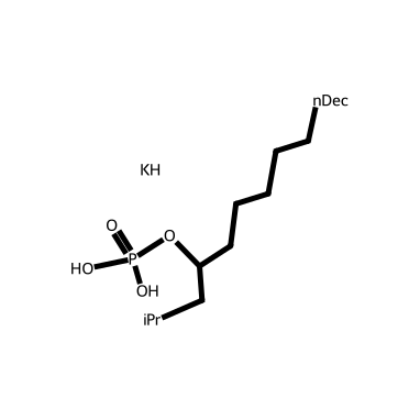 CCCCCCCCCCCCCCCC(CC(C)C)OP(=O)(O)O.[KH]